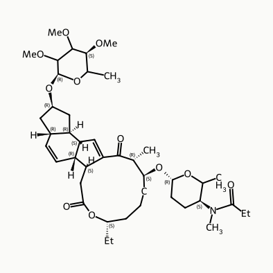 CCC(=O)N(C)[C@H]1CC[C@H](O[C@H]2CCC[C@H](CC)OC(=O)C[C@@H]3C(=C[C@@H]4[C@H]3C=C[C@@H]3C[C@@H](O[C@@H]5OC(C)[C@H](OC)C(OC)C5OC)C[C@@H]43)C(=O)[C@@H]2C)OC1C